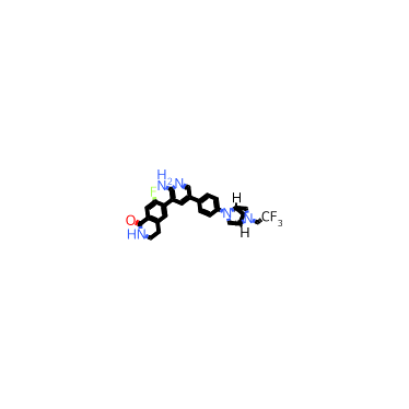 Nc1ncc(-c2ccc(N3C[C@@H]4C[C@H]3CN4CC(F)(F)F)cc2)cc1-c1cc2c(cc1F)C(=O)NCC2